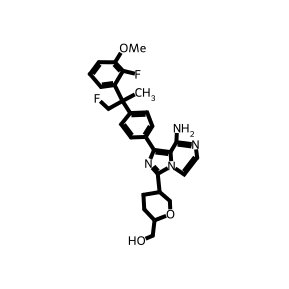 COc1cccc(C(C)(CF)c2ccc(-c3nc(C4CCC(CO)OC4)n4ccnc(N)c34)cc2)c1F